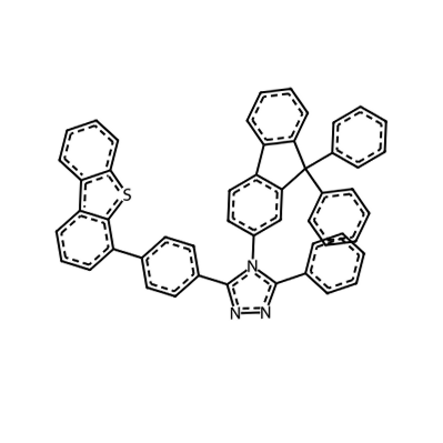 c1ccc(-c2nnc(-c3ccc(-c4cccc5c4sc4ccccc45)cc3)n2-c2ccc3c(c2)C(c2ccccc2)(c2ccccc2)c2ccccc2-3)cc1